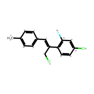 Cc1ccc(/C=C(\CCl)c2ccc(Cl)cc2F)cc1